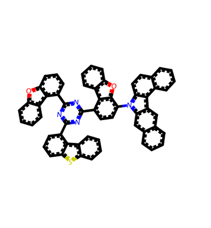 c1ccc2cc3c(cc2c1)c1c2ccccc2ccc1n3-c1ccc(-c2nc(-c3cccc4oc5ccccc5c34)nc(-c3cccc4sc5ccccc5c34)n2)c2c1oc1ccccc12